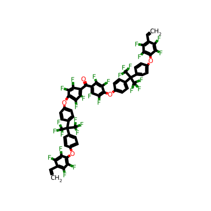 C=Cc1c(F)c(F)c(Oc2ccc(C(c3ccc(Oc4c(F)c(F)c(C(=O)c5c(F)c(F)c(Oc6ccc(C(c7ccc(Oc8c(F)c(F)c(C=C)c(F)c8F)cc7)(C(F)(F)F)C(F)(F)F)cc6)c(F)c5F)c(F)c4F)cc3)(C(F)(F)F)C(F)(F)F)cc2)c(F)c1F